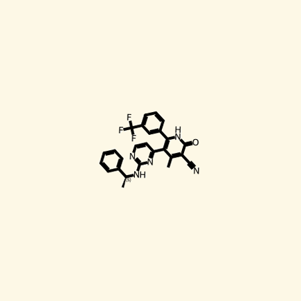 Cc1c(-c2ccnc(N[C@@H](C)c3ccccc3)n2)c(-c2cccc(C(F)(F)F)c2)[nH]c(=O)c1C#N